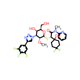 CO[C@@H]1[C@@H](n2cc(-c3cc(F)c(F)c(F)c3)nn2)[C@@H](O)[C@@H](CO)O[C@H]1S[C@H](C(=O)N(C)c1ccccn1)C1(O)CCC(F)(F)CC1